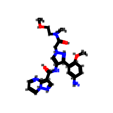 COCCN(C)C(=O)Cn1cc(NC(=O)c2cnn3cccnc23)c(-c2cc(N)ccc2OC)n1